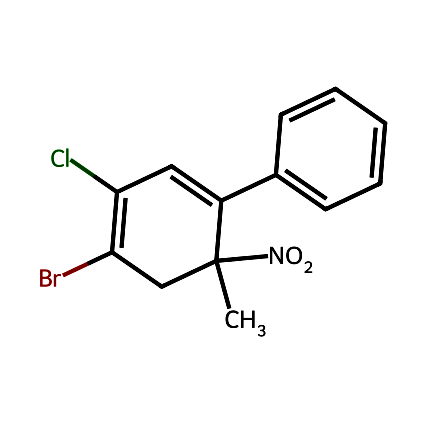 CC1([N+](=O)[O-])CC(Br)=C(Cl)C=C1c1ccccc1